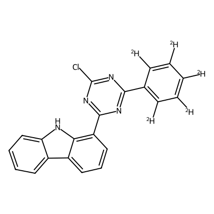 [2H]c1c([2H])c([2H])c(-c2nc(Cl)nc(-c3cccc4c3[nH]c3ccccc34)n2)c([2H])c1[2H]